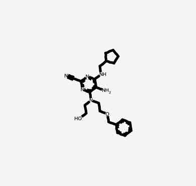 N#Cc1nc(NCC2CCCC2)c(N)c(N(CCO)CCOCc2ccccc2)n1